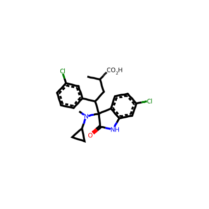 CC(CC(c1cccc(Cl)c1)C1(N(C)C2CC2)C(=O)Nc2cc(Cl)ccc21)C(=O)O